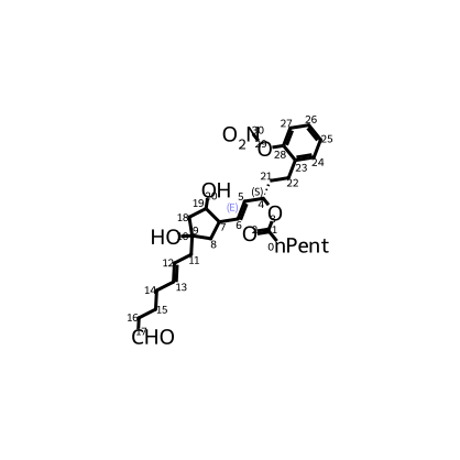 CCCCCC(=O)O[C@H](/C=C/C1CC(O)(CC=CCCCC=O)CC1O)CCc1ccccc1O[N+](=O)[O-]